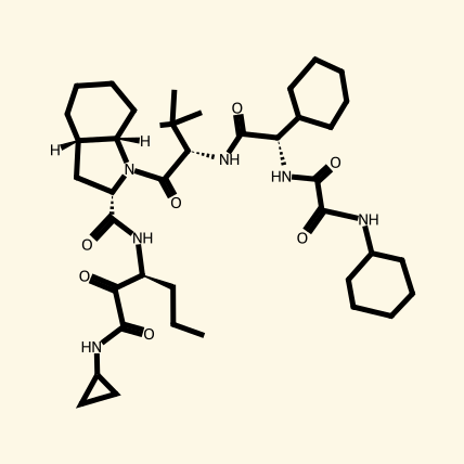 CCC[C@H](NC(=O)[C@@H]1C[C@@H]2CCCC[C@@H]2N1C(=O)[C@@H](NC(=O)[C@@H](NC(=O)C(=O)NC1CCCCC1)C1CCCCC1)C(C)(C)C)C(=O)C(=O)NC1CC1